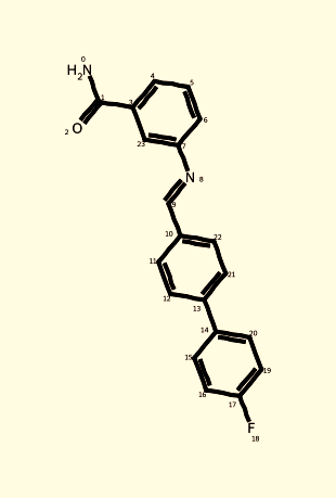 NC(=O)c1cccc(N=Cc2ccc(-c3ccc(F)cc3)cc2)c1